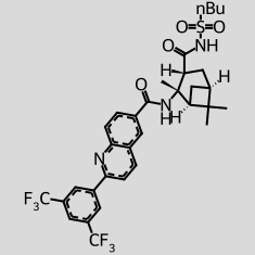 CCCCS(=O)(=O)NC(=O)[C@@H]1C[C@@H]2C[C@@H](C2(C)C)[C@]1(C)NC(=O)c1ccc2nc(-c3cc(C(F)(F)F)cc(C(F)(F)F)c3)ccc2c1